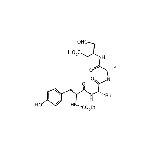 CCOC(=O)N[C@@H](Cc1ccc(O)cc1)C(=O)N[C@H](C(=O)N[C@@H](C)C(=O)N[C@H](CC=O)CC(=O)O)C(C)CC